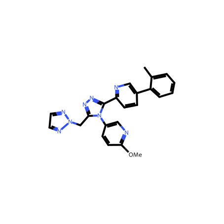 COc1ccc(-n2c(Cn3nccn3)nnc2-c2ccc(-c3ccccc3C)cn2)cn1